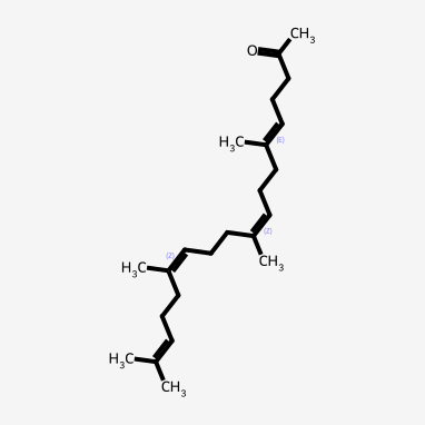 CC(=O)CC/C=C(\C)CC/C=C(/C)CC/C=C(/C)CCC=C(C)C